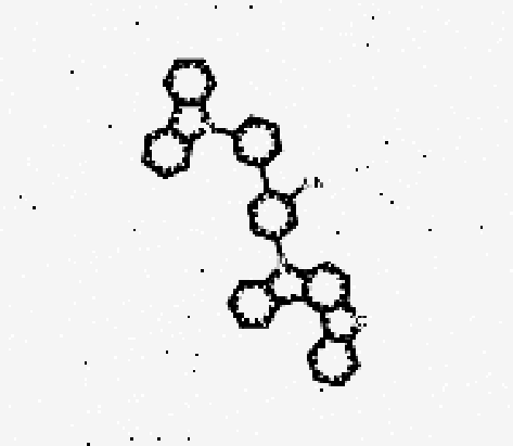 N#Cc1cc(-n2c3ccccc3c3c4c(ccc32)oc2ccccc24)ccc1-c1cccc(-n2c3ccccc3c3ccccc32)c1